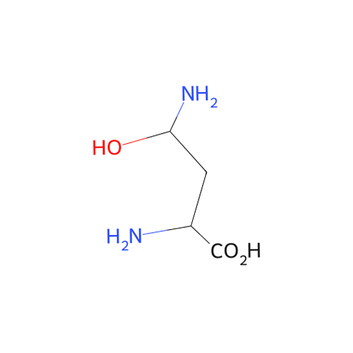 NC(O)CC(N)C(=O)O